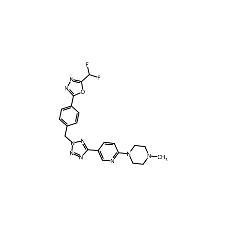 CN1CCN(c2ccc(-c3nnn(Cc4ccc(-c5nnc(C(F)F)o5)cc4)n3)cn2)CC1